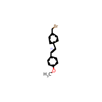 COc1ccc(/C=C/c2ccc(CBr)cc2)cc1